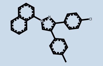 Cc1ccc(-c2cn(-c3cccc4ccccc34)nc2-c2ccc(Cl)cc2)cc1